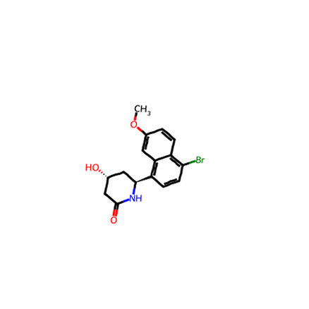 COc1ccc2c(Br)ccc([C@@H]3C[C@@H](O)CC(=O)N3)c2c1